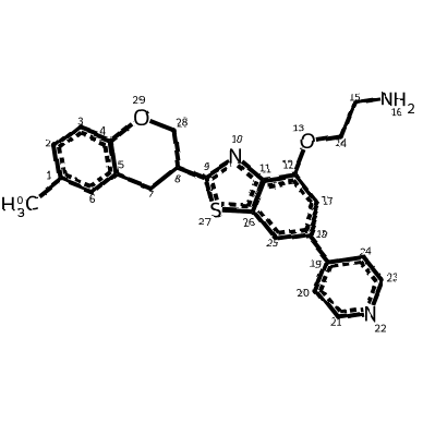 Cc1ccc2c(c1)CC(c1nc3c(OCCN)cc(-c4ccncc4)cc3s1)CO2